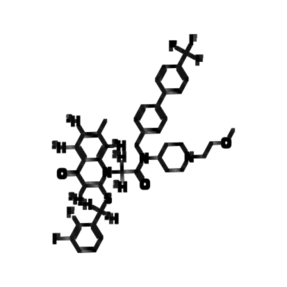 [2H]c1c(C)c([2H])c2c(c1[2H])c(=O)c([2H])c(SC([2H])([2H])c1cccc(F)c1F)n2C([2H])([2H])C(=O)N(Cc1ccc(-c2ccc(C(F)(F)F)cc2)cc1)C1CCN(CCOC)CC1